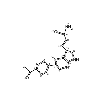 CC(=O)c1ccc(-c2cnc3[nH]cc(/C=C/C(N)=O)c3n2)cc1